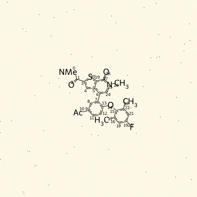 CNC(=O)c1cc2c(-c3cc(C(C)=O)ccc3Oc3c(C)cc(F)cc3C)cn(C)c(=O)c2s1